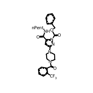 CCCCCNC(=O)c1cc(N2CCN(C(=O)c3ccccc3C(F)(F)F)CC2)nn1C(=O)OCc1ccccc1